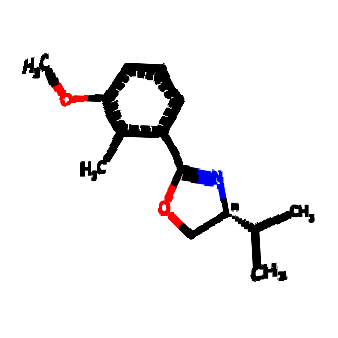 COc1cccc(C2=N[C@H](C(C)C)CO2)c1C